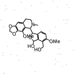 COc1ccc2c(c1CO)C(O)OC2C1c2c(cc3c(c2OC)OCO3)CCN1C